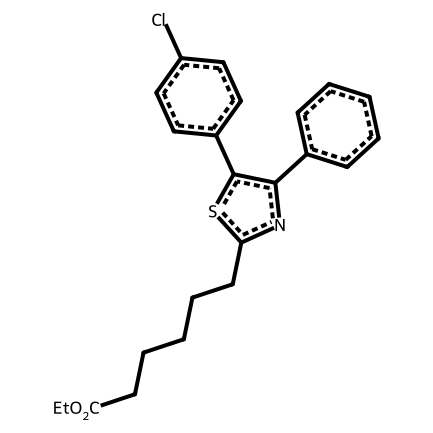 CCOC(=O)CCCCCc1nc(-c2ccccc2)c(-c2ccc(Cl)cc2)s1